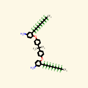 Nc1ccc(Oc2ccc(C(c3ccc(Oc4ccc(N)cc4C(F)(F)C(F)(F)C(F)(F)C(F)(F)C(F)(F)C(F)(F)C(F)(F)C(F)(F)F)cc3)(C(F)(F)F)C(F)(F)F)cc2)c(C(F)(F)C(F)(F)C(F)(F)C(F)(F)C(F)(F)C(F)(F)C(F)(F)C(F)(F)F)c1